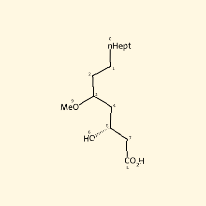 CCCCCCCCCC(C[C@@H](O)CC(=O)O)OC